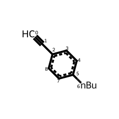 C#Cc1ccc(CCCC)cc1